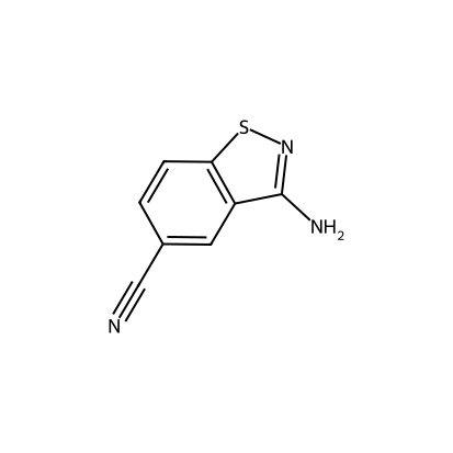 N#Cc1ccc2snc(N)c2c1